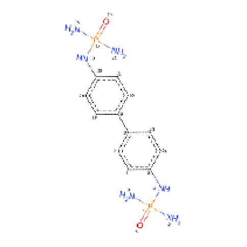 NP(N)(=O)Nc1ccc(-c2ccc(NP(N)(N)=O)cc2)cc1